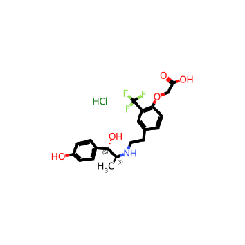 C[C@H](NCCc1ccc(OCC(=O)O)c(C(F)(F)F)c1)[C@@H](O)c1ccc(O)cc1.Cl